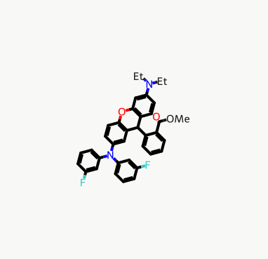 CCN(CC)c1ccc2c(c1)Oc1ccc(N(c3cccc(F)c3)c3cccc(F)c3)cc1C2c1ccccc1C(=O)OC